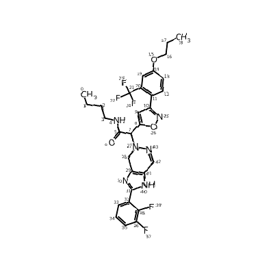 CCCCNC(=O)C(c1cc(-c2ccc(OCCC)cc2C(F)(F)F)no1)N1Cc2nc(-c3cccc(F)c3F)[nH]c2C=N1